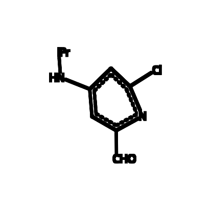 CC(C)Nc1cc(Cl)nc(C=O)c1